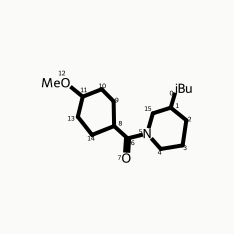 CCC(C)C1CCCN(C(=O)C2CCC(OC)CC2)C1